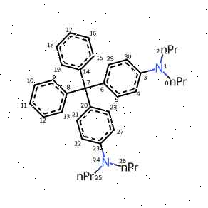 CCCN(CCC)c1ccc(C(c2ccccc2)(c2ccccc2)c2ccc(N(CCC)CCC)cc2)cc1